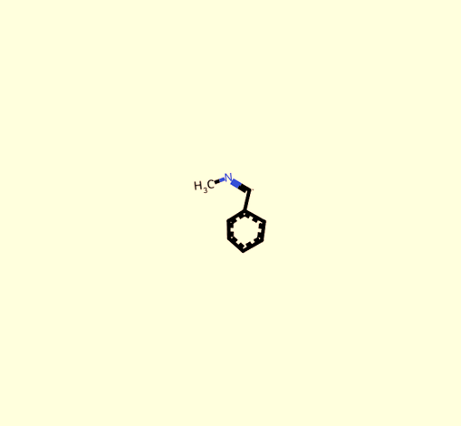 C/N=[C]\c1ccccc1